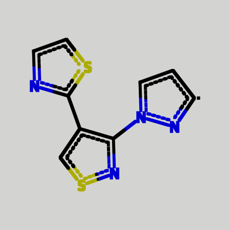 [c]1ccn(-c2nscc2-c2nccs2)n1